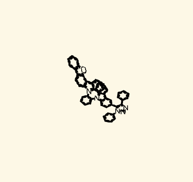 c1ccc(-c2nnn(-c3ccccc3)c2-c2ccc3c(c2)c2ccccc2n3-c2ccccc2-n2c3ccccc3c3c4oc5ccccc5c4ccc32)cc1